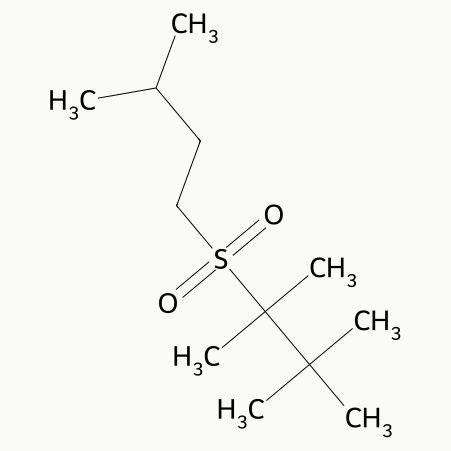 CC(C)CCS(=O)(=O)C(C)(C)C(C)(C)C